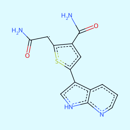 NC(=O)[CH]c1sc(-c2c[nH]c3ncccc23)cc1C(N)=O